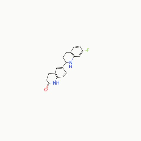 O=C1CCc2cc(C3CCc4ccc(F)cc4N3)ccc2N1